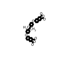 CC(C)(c1ccc(Oc2ccc3cc4c(cc3c2)C(=O)OC4=O)cc1)c1ccc(Oc2ccc3cc4c(cc3c2)C(=O)OC4=O)cc1